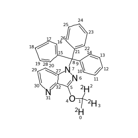 [2H]C([2H])([2H])Oc1nn(C(c2ccccc2)(c2ccccc2)c2ccccc2)c2cccnc12